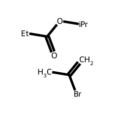 C=C(C)Br.CCC(=O)OC(C)C